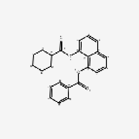 O=C(Oc1cccc2cccc(OC(=O)C3CCCCC3)c12)c1ccccc1